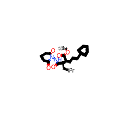 CC(C)C[C@@H](C(=O)NN1C(=O)CCCC1=O)C(C/C=C/c1ccccc1)C(=O)OC(C)(C)C